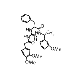 COc1cccc([C@H](C)NC(=O)[C@@H](Cc2ccccc2)NC(=N)NC(=O)Cc2ccc(OC)c(OC)c2)c1